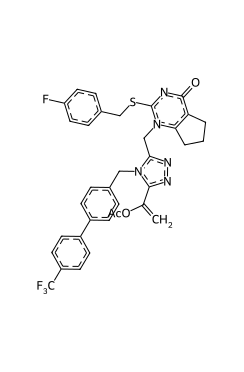 C=C(OC(C)=O)c1nnc(Cn2c(SCc3ccc(F)cc3)nc(=O)c3c2CCC3)n1Cc1ccc(-c2ccc(C(F)(F)F)cc2)cc1